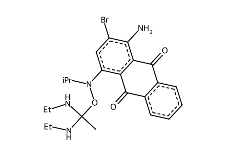 CCNC(C)(NCC)ON(c1cc(Br)c(N)c2c1C(=O)c1ccccc1C2=O)C(C)C